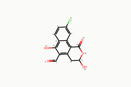 O=Cc1c2c(c3cc(Cl)ccc3c1O)C(=O)OC(O)C2